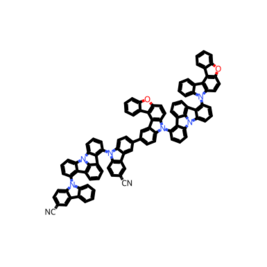 N#Cc1ccc2c(c1)c1ccccc1n2-c1cccc2c1c1cccc3c4c(-n5c6ccc(C#N)cc6c6cc(-c7ccc8c(c7)c7c9c(ccc7n8-c7cccc8c7c7cccc%10c%11c(-n%12c%13ccccc%13c%13c%14c(ccc%13%12)oc%12ccccc%12%14)cccc%11n8c%107)oc7ccccc79)ccc65)cccc4n2c13